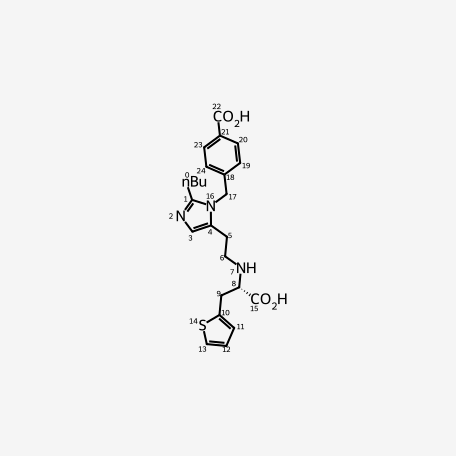 CCCCc1ncc(CCN[C@@H](Cc2cccs2)C(=O)O)n1Cc1ccc(C(=O)O)cc1